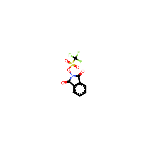 O=C1c2[c]cccc2C(=O)N1OS(=O)(=O)C(F)(F)F